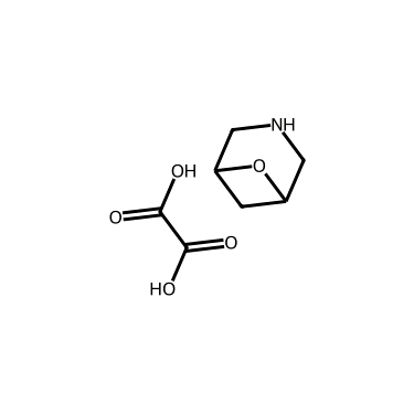 C1NCC2CC1O2.O=C(O)C(=O)O